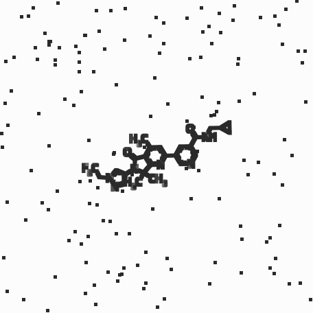 Cc1cc(-c2cncc(C(=O)NCC3CC3)c2)nc2c1C(=O)N(c1cnn(CC(F)(F)F)c1)C2(C)C